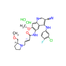 COC[C@@H]1CCCN1C/C=C/C(=O)Nc1cc2c(Nc3ccc(F)c(Cl)c3)c(C#N)cnc2cc1OC.Cl.Cl